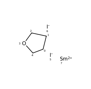 C1CCOC1.[I-].[I-].[Sm+2]